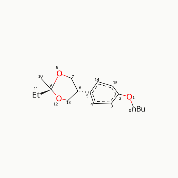 CCCCOc1ccc([C@H]2CO[C@](C)(CC)OC2)cc1